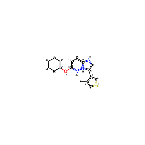 Cc1cscc1-c1cnc2ccc(OC3CCCCC3)nn12